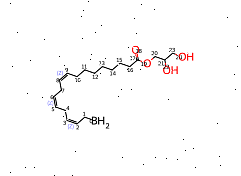 BC/C=C\C/C=C\C/C=C\CCCCCCCC(=O)OCC(O)CO